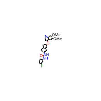 COc1cc2nccc(Oc3ccc4ccc(NC(=O)Nc5cccc(F)c5)cc4c3)c2cc1OC